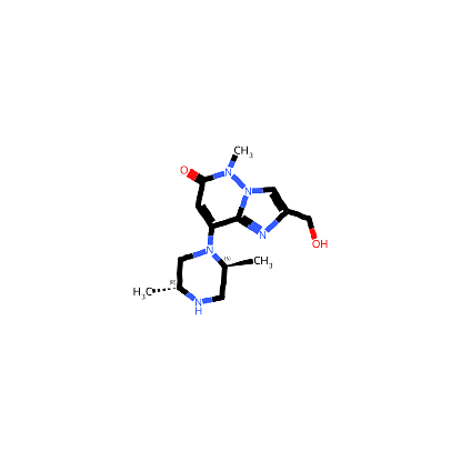 C[C@@H]1CN(c2cc(=O)n(C)n3cc(CO)nc23)[C@@H](C)CN1